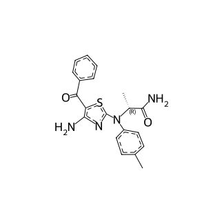 Cc1ccc(N(c2nc(N)c(C(=O)c3ccccc3)s2)[C@H](C)C(N)=O)cc1